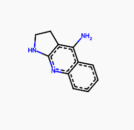 Nc1c2c(nc3ccccc13)NCC2